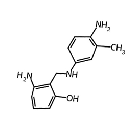 Cc1cc(NCc2c(N)cccc2O)ccc1N